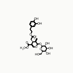 C/C=C1/C(O[C@@H]2O[C@H](CO)[C@@H](O)[C@H](O)[C@H]2O)OC=C(C(=O)OC)[C@H]1CC(=O)OCCc1ccc(O)c(O)c1